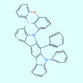 c1ccc(-c2c3c(cc4c5cccc6c5n(c24)-c2cccc4c2B6c2ccccc2O4)c2ccccc2n3-c2ccccc2)cc1